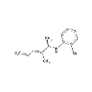 C=C/C=C(\C)[C@@H](N)Nc1ccccc1S